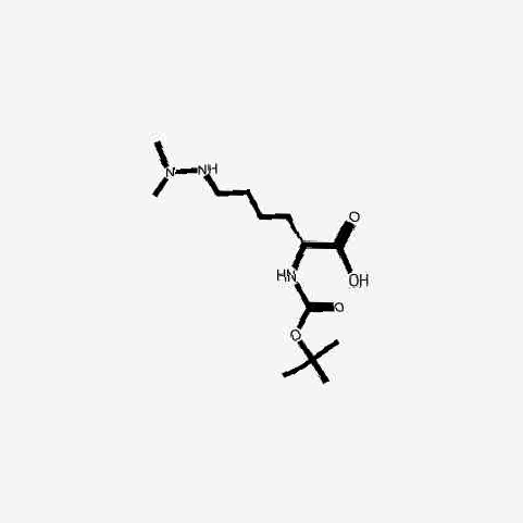 CN(C)NCCCC[C@H](NC(=O)OC(C)(C)C)C(=O)O